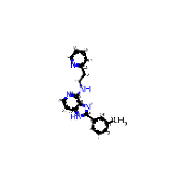 Cc1cccc(-c2nc3c(NCCc4ccccn4)nccc3[nH]2)c1